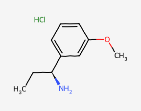 CC[C@H](N)c1cccc(OC)c1.Cl